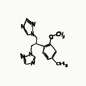 COc1cc(C)ccc1C(Cn1cncn1)Cn1cncn1